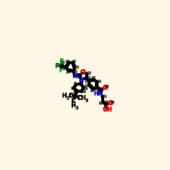 CC(C)(C)C1CCC(N2/C(=N/c3cccc(C(F)(F)F)c3)OCC2c2ccc(C(=O)NCCC(=O)O)cc2)CC1